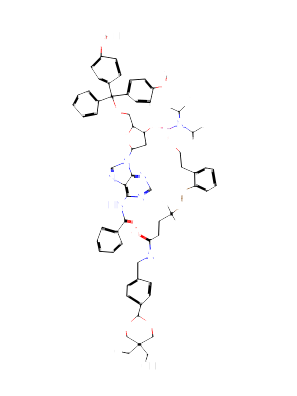 CCC1(CC)COC(c2ccc(CNC(=O)CCC(C)(C)SSc3ccccc3CCOP(OC3CC(n4cnc5c(NC(=O)c6ccccc6)ncnc54)OC3COC(c3ccccc3)(c3ccc(OC)cc3)c3ccc(OC)cc3)N(C(C)C)C(C)C)cc2)OC1